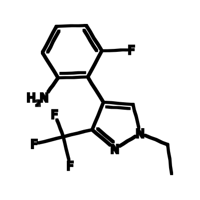 CCn1cc(-c2c(N)cccc2F)c(C(F)(F)F)n1